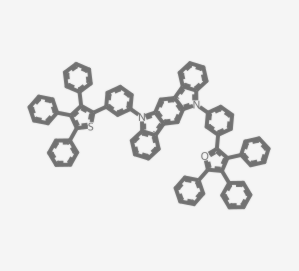 c1ccc(-c2oc(-c3cccc(-n4c5ccccc5c5cc6c(cc54)c4ccccc4n6-c4cccc(-c5sc(-c6ccccc6)c(-c6ccccc6)c5-c5ccccc5)c4)c3)c(-c3ccccc3)c2-c2ccccc2)cc1